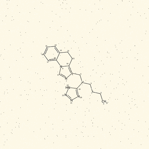 CCCCC(Cc1ncn2c1CCc1ccccc1-2)c1nnn[nH]1